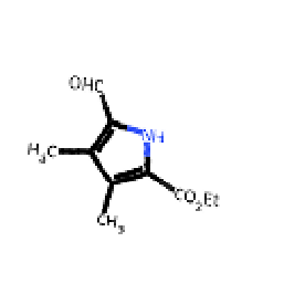 CCOC(=O)c1[nH]c(C=O)c(C)c1C